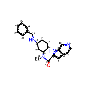 CCN(C(=O)c1cc2ccncc2[nH]1)C1CCCC(NCc2ccccc2)C1